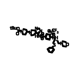 CC(C)(C)OC(=O)N1CCC(N2CCc3c(ncnc3NS(=O)(=O)c3ccc(N[C@H](CCN4CCOCC4)CSc4ccccc4)c(S(=O)(=O)C(F)(F)F)c3)C2)CC1